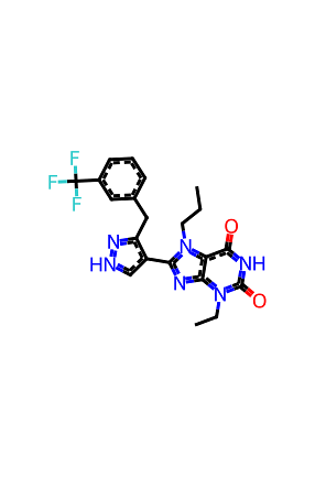 CCCn1c(-c2c[nH]nc2Cc2cccc(C(F)(F)F)c2)nc2c1c(=O)[nH]c(=O)n2CC